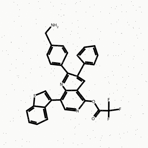 NCc1ccc(-c2nc3c(-c4csc5ccccc45)cnc(OC(=O)C(F)(F)F)c3cc2-c2ccccc2)cc1